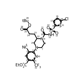 CCOC(=O)c1cc(C#N)c(N2CCN(C(=O)NS(=O)(=O)c3ccc(Cl)s3)C(CCC(=O)OC(C)(C)C)C2)nc1C(F)(F)F